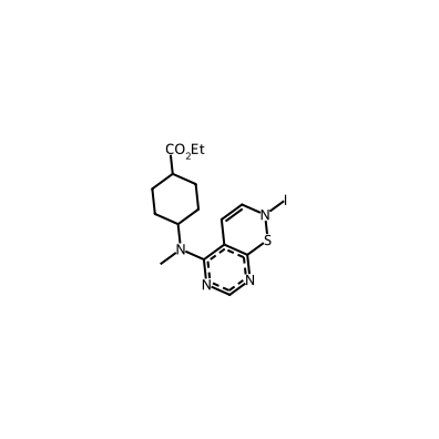 CCOC(=O)C1CCC(N(C)c2ncnc3c2C=CN(I)S3)CC1